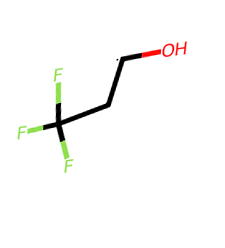 O[CH]CC(F)(F)F